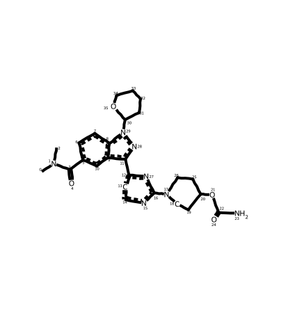 CN(C)C(=O)c1ccc2c(c1)c(-c1ccnc(N3CCC(OC(N)=O)CC3)n1)nn2C1CCCCO1